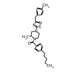 CCCCCc1ccc(C(=O)N2CCN(c3nc(Cc4ccc(C)cc4)ns3)CC2C)cc1